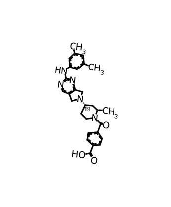 Cc1cc(C)cc(Nc2ncc3c(n2)CN([C@H]2CCN(C(=O)c4ccc(C(=O)O)cc4)C(C)C2)C3)c1